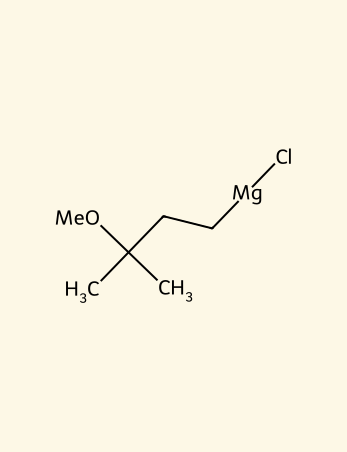 COC(C)(C)C[CH2][Mg][Cl]